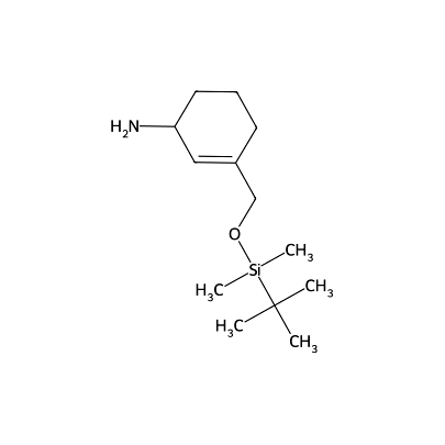 CC(C)(C)[Si](C)(C)OCC1=CC(N)CCC1